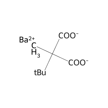 CC(C)(C)C(C)(C(=O)[O-])C(=O)[O-].[Ba+2]